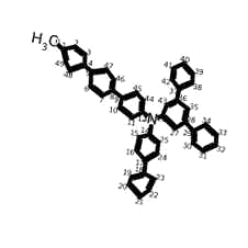 Cc1ccc(-c2ccc(-c3ccc(N(c4ccc(-c5ccccc5)cc4)c4cc(-c5ccccc5)cc(-c5ccccc5)c4)cc3)cc2)cc1